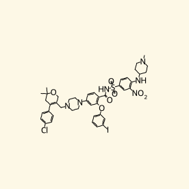 CN1CCC(Nc2ccc(S(=O)(=O)NC(=O)c3ccc(N4CCN(CC5=C(c6ccc(Cl)cc6)CC(C)(C)OC5)CC4)cc3Oc3cccc(I)c3)cc2[N+](=O)[O-])CC1